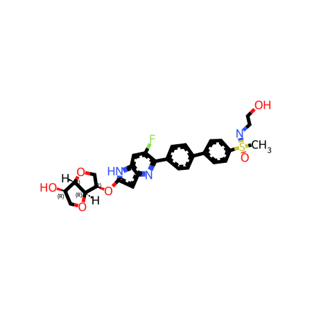 CS(=O)(=NCCO)c1ccc(-c2ccc(-c3nc4cc(O[C@@H]5CO[C@H]6[C@@H]5OC[C@H]6O)[nH]c4cc3F)cc2)cc1